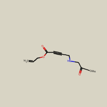 C=CCOC(=O)C#CCNCC(=O)OC